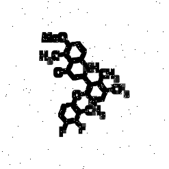 COc1ccc2[nH]c(-c3c(Oc4ccc(F)c(F)c4C)ncc(C(F)(F)F)c3C)cc(=O)c2c1C